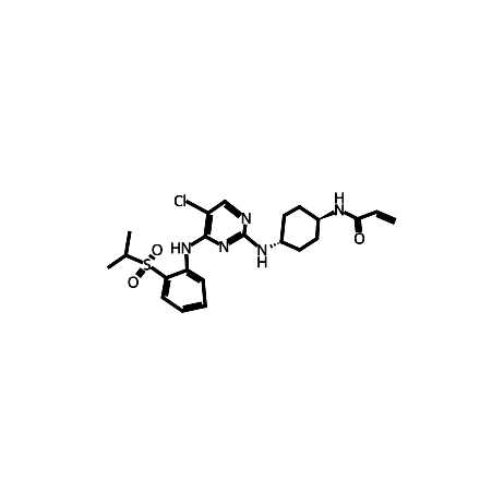 C=CC(=O)N[C@H]1CC[C@H](Nc2ncc(Cl)c(Nc3ccccc3S(=O)(=O)C(C)C)n2)CC1